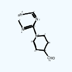 CCC/C=N\C(=N/C)N1CCC(C=O)CC1